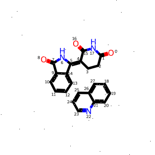 O=C1CCC(=C2NC(=O)c3ccccc32)C(=O)N1.c1ccc2ncccc2c1